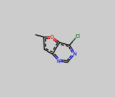 Cc1cc2ncnc(Cl)c2o1